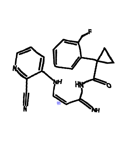 N#Cc1ncccc1N/C=C\C(=N)NC(=O)C1(c2ccccc2F)CC1